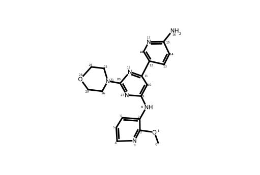 COc1ncccc1Nc1cc(-c2ccc(N)nc2)nc(N2CCOCC2)n1